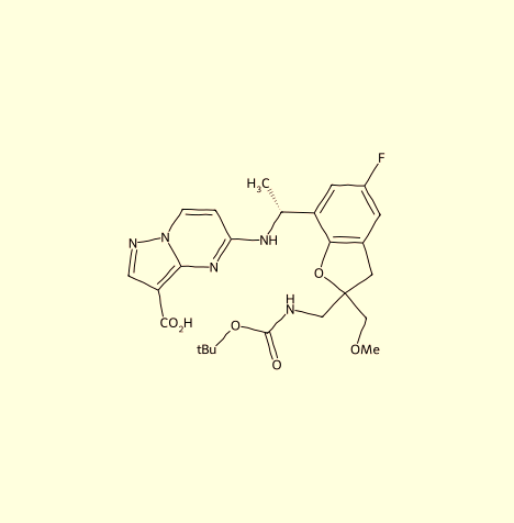 COCC1(CNC(=O)OC(C)(C)C)Cc2cc(F)cc([C@@H](C)Nc3ccn4ncc(C(=O)O)c4n3)c2O1